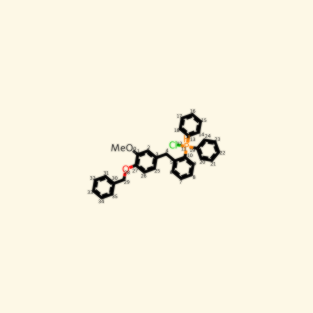 COc1cc(Cc2ccccc2[PH](Cl)(c2ccccc2)c2ccccc2)ccc1OCc1ccccc1